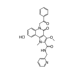 COc1c(C(=O)NCc2ccccn2)n(C)c2c1c(=O)n(CC(=O)c1ccccc1)c1ccccc21.Cl